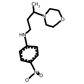 CC(CCNc1ccc([N+](=O)[O-])cc1)N1CCOCC1